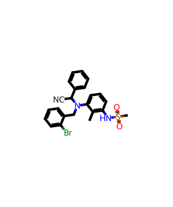 Cc1c(NS(C)(=O)=O)cccc1N(Cc1ccccc1Br)C(C#N)c1ccccc1